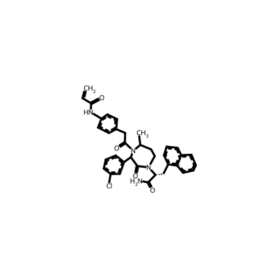 C=CC(=O)Nc1ccc(CC(=O)N2C(C)CCN([C@H](Cc3cccc4ccccc34)C(N)=O)C(=O)C2c2cccc(Cl)c2)cc1